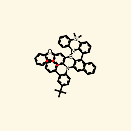 CC(C)(C)c1ccc(N2c3cc4c(cc3B3c5c2cc2ccccc2c5-c2cccc5c2N3c2ccccc2[Si]5(C)C)oc2ccccc24)c(-c2ccccc2)c1